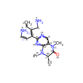 C=C/C(CN)=C(\C=C/N)c1ncc2c(n1)N(C(C)C)[C@H](CC)C(=O)N2C